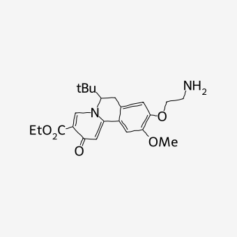 CCOC(=O)c1cn2c(cc1=O)-c1cc(OC)c(OCCN)cc1CC2C(C)(C)C